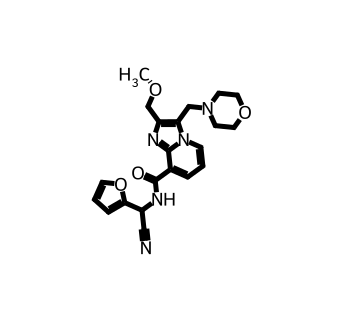 COCc1nc2c(C(=O)NC(C#N)c3ccco3)cccn2c1CN1CCOCC1